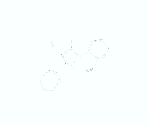 O=Cc1c(-c2ccccc2)nn(-c2ccccc2[N+](=O)[O-])c1Cl